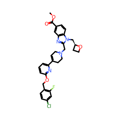 COC(=O)c1ccc2c(c1)nc(CN1CC=C(c3cccc(OCc4ccc(Cl)cc4F)n3)CC1)n2C[C@@H]1CCO1